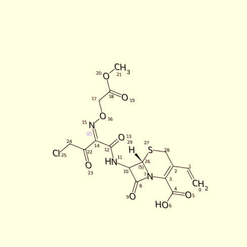 C=CC1=C(C(=O)O)N2C(=O)C(NC(=O)/C(=N\OCC(=O)OC)C(=O)CCl)[C@@H]2SC1